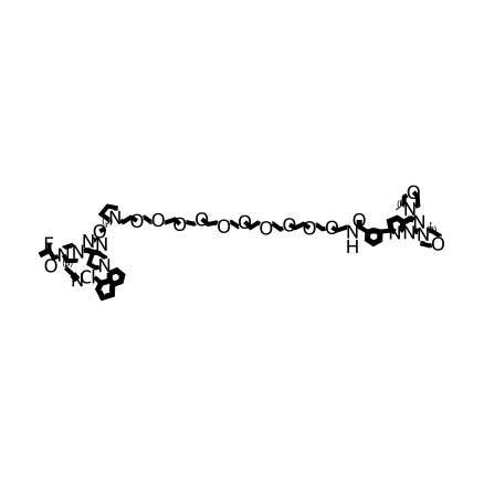 C=C(F)C(=O)N1CCN(c2nc(OC[C@@H]3CCCN3CCOCCOCCOCCOCCOCCOCCOCCOCCOCCOCCNC(=O)c3cccc(-c4ccc5c(N6CCOC[C@H]6C)nc(N6CCOC[C@H]6C)nc5n4)c3)nc3c2CCN(c2cccc4cccc(Cl)c24)C3)C[C@@H]1CC#N